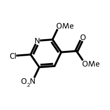 COC(=O)c1cc([N+](=O)[O-])c(Cl)nc1OC